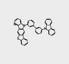 c1cc(-c2cccc(-n3c4cc5c(cc4c4ncccc43)sc3ccccc35)c2)cc(-n2c3ccccc3c3ccccc32)c1